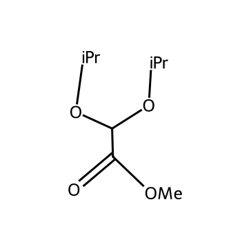 COC(=O)C(OC(C)C)OC(C)C